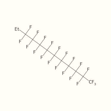 CCC(F)(F)C(F)(F)C(F)(F)C(F)(F)C(F)(F)C(F)(F)C(F)(F)C(F)(F)C(F)(F)C(F)(F)F